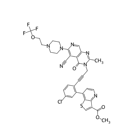 COC(=O)c1csc2c(-c3cc(Cl)ccc3C#CCn3c(C)nc4cnc(N5CCN(CCOC(F)(F)F)CC5)c(C#N)c4c3=O)ccnc12